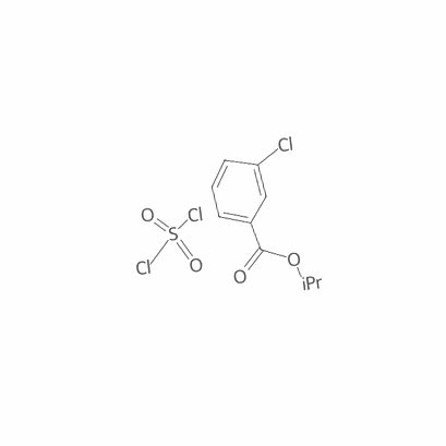 CC(C)OC(=O)c1cccc(Cl)c1.O=S(=O)(Cl)Cl